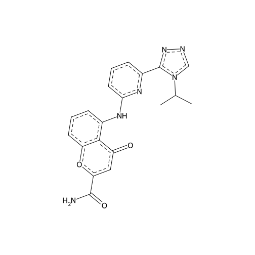 CC(C)n1cnnc1-c1cccc(Nc2cccc3oc(C(N)=O)cc(=O)c23)n1